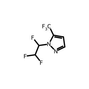 FC(F)C(F)n1nccc1C(F)(F)F